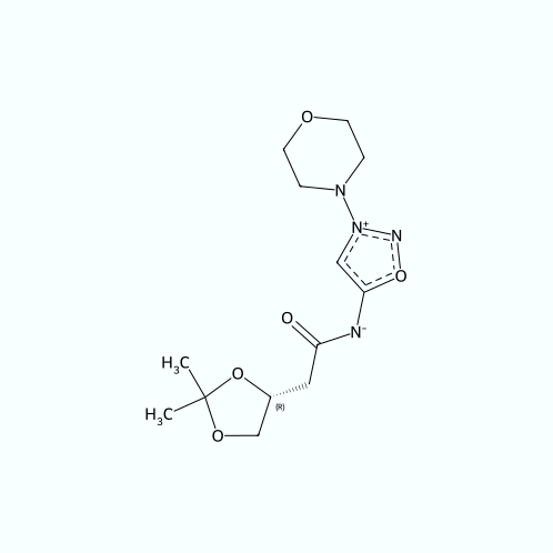 CC1(C)OC[C@@H](CC(=O)[N-]c2c[n+](N3CCOCC3)no2)O1